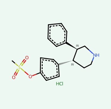 CS(=O)(=O)Oc1ccc([C@H]2CCNC[C@@H]2c2ccccc2)cc1.Cl